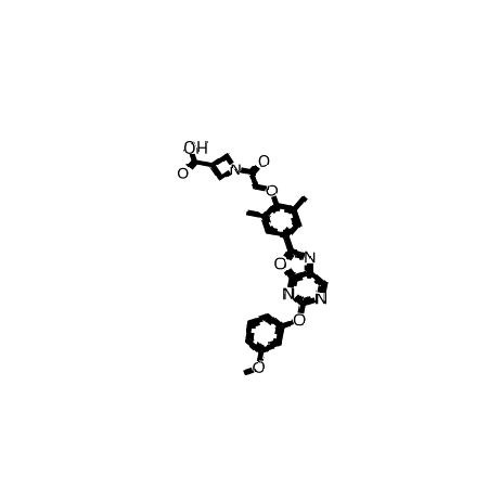 COc1cccc(Oc2ncc3nc(-c4cc(C)c(OCC(=O)N5CC(C(=O)O)C5)c(C)c4)oc3n2)c1